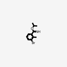 Cc1c(Br)cccc1C(=N)OC(C)C